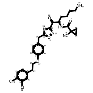 N#CC1(C(=O)NC(CCCCN)C(=O)c2noc(Cc3ccc(OCCc4ccc(Cl)c(Cl)c4)cc3)n2)CC1